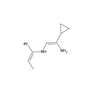 C/C=C(\N/C=C(\N)C1CC1)C(C)C